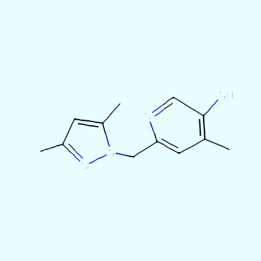 Cc1cc(Cn2nc(C(F)(F)F)cc2C)ncc1N